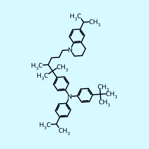 CC(C)c1ccc(N(c2ccc(C(C)(C)C)cc2)c2ccc(C(C)(C)C(C)CCCN3CCCc4cc(C(C)C)ccc43)cc2)cc1